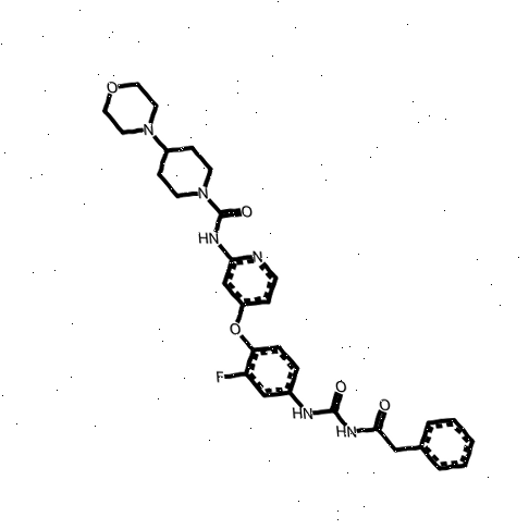 O=C(Cc1ccccc1)NC(=O)Nc1ccc(Oc2ccnc(NC(=O)N3CCC(N4CCOCC4)CC3)c2)c(F)c1